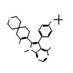 [2H]C([2H])([2H])Oc1ccc(-c2c(C3=C(F)CC4(CCNCC4)CC3)n(C)c3ncnc(N)c23)cc1